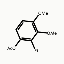 CCc1c(OC(C)=O)ccc(OC)c1OC